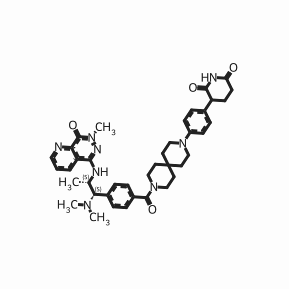 C[C@H](Nc1nn(C)c(=O)c2ncccc12)[C@H](c1ccc(C(=O)N2CCC3(CC2)CCN(c2ccc(C4CCC(=O)NC4=O)cc2)CC3)cc1)N(C)C